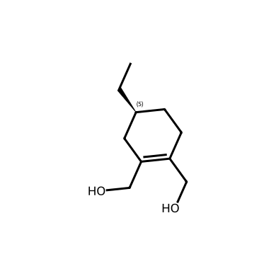 CC[C@H]1CCC(CO)=C(CO)C1